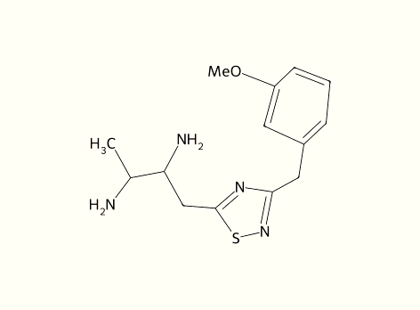 COc1cccc(Cc2nsc(CC(N)C(C)N)n2)c1